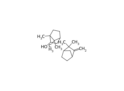 C=C1C2CCC(C2)C1(C)C.CC1(C)C2CCC1(C)C(O)C2